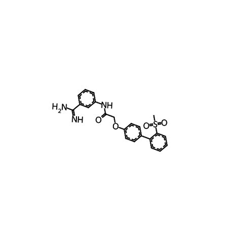 CS(=O)(=O)c1ccccc1-c1ccc(OCC(=O)Nc2cccc(C(=N)N)c2)cc1